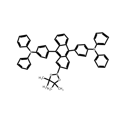 CC1(C)OB(c2ccc3c(-c4ccc(N(c5ccccc5)c5ccccc5)cc4)c4ccccc4c(-c4ccc(N(c5ccccc5)c5ccccc5)cc4)c3c2)OC1(C)C